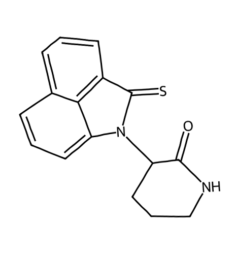 O=C1NCCCC1N1C(=S)c2cccc3cccc1c23